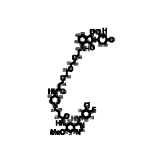 COc1cc2ncnc(Nc3ccc(F)c(Cl)c3)c2cc1NC(=O)/C=C/CN1CCC(NC(=O)CCOCCOCCOCCNc2cccc3c2C(=O)N(C2CCC(=O)NC2=O)C3=O)CC1